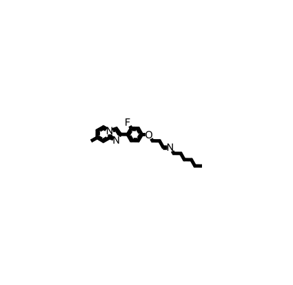 CCCCCCN=CCCOc1ccc(-c2cn3ccc(C)cc3n2)c(F)c1